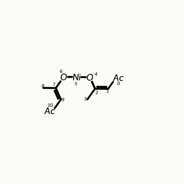 CC(=O)C=C(C)[O][Ni][O]C(C)=CC(C)=O